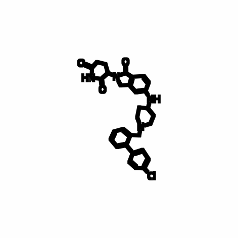 O=C1CCC(N2Cc3cc(NC4CCN(Cc5ccccc5-c5ccc(Cl)cc5)CC4)ccc3C2=O)C(=O)N1